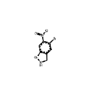 O=[N+]([O-])c1cc2c(cc1Br)CNN2